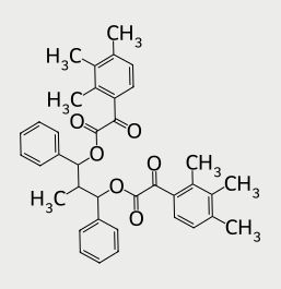 Cc1ccc(C(=O)C(=O)OC(c2ccccc2)C(C)C(OC(=O)C(=O)c2ccc(C)c(C)c2C)c2ccccc2)c(C)c1C